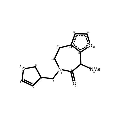 CNC1C(=O)N(CC2C=CSC2)CCc2ccoc21